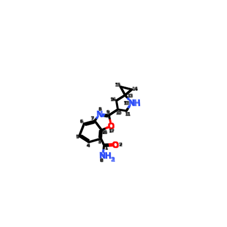 NC(=O)c1cccc2nc(C3CNC4(CC4)C3)oc12